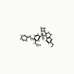 CCc1ccc2c(c1)CCC(C1CCC1)N2S(=O)(=O)c1ccc(OCC2CCOCC2)c(CO)c1